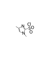 Cc1cn(C)c(S(=O)(=O)Cl)n1